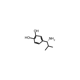 CC(C)[C@@H](N)c1ccc(O)c(O)c1